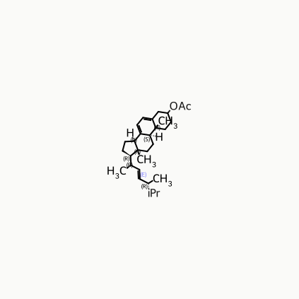 CC(=O)OC1CC[C@@]2(C)C(=CC=C3[C@@H]4CC[C@H]([C@H](C)/C=C/[C@H](C)C(C)C)[C@@]4(C)CC[C@@H]32)C1